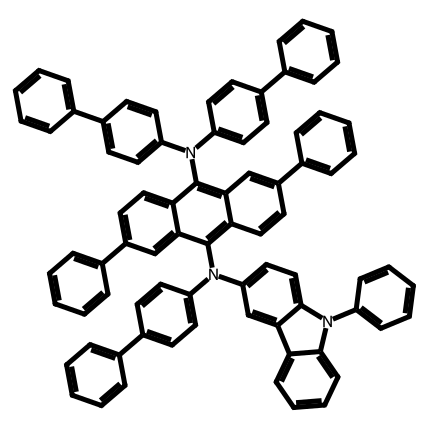 c1ccc(-c2ccc(N(c3ccc(-c4ccccc4)cc3)c3c4ccc(-c5ccccc5)cc4c(N(c4ccc(-c5ccccc5)cc4)c4ccc5c(c4)c4ccccc4n5-c4ccccc4)c4ccc(-c5ccccc5)cc34)cc2)cc1